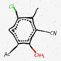 CC(=O)c1cc(Cl)c(C)c(C#N)c1O